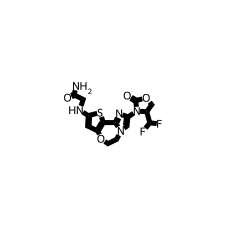 NC(=O)CNc1cc2c(s1)-c1nc(N3C(=O)OCC3C(F)F)cn1CCO2